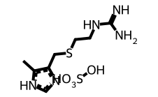 Cc1[nH]cnc1CSCCNC(=N)N.O=S(=O)(O)O